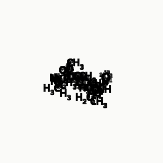 C=C(C)[C@@H]1CC[C@]2(NCCN3CCCCC3)CC[C@]3(C)[C@H](CC[C@@H]4[C@@]5(C)CC=C(C6=CCC(COc7cnnn7C(C)C)(C(=O)OCC)CC6)C(C)(C)[C@@H]5CC[C@]43C)[C@@H]12